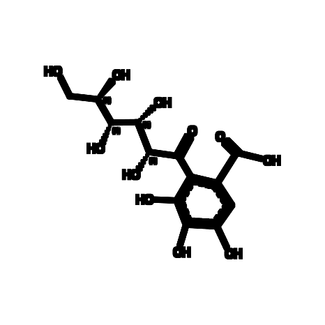 O=C(O)c1cc(O)c(O)c(O)c1C(=O)[C@H](O)[C@@H](O)[C@H](O)[C@H](O)CO